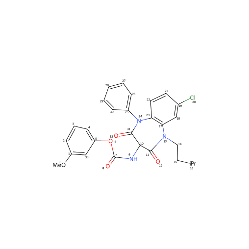 COc1cccc(OC(=O)NC2C(=O)N(CCC(C)C)c3cc(Cl)ccc3N(c3ccccc3)C2=O)c1